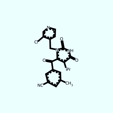 Cc1cc(C#N)cc(C(=O)c2c(C(C)C)c(=O)[nH]c(=O)n2Cc2ccncc2Cl)c1